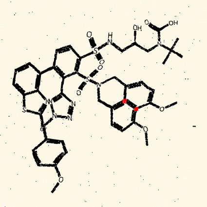 COc1ccc(CN(Cc2ccc(OC)cc2)S(=O)(=O)c2c(S(=O)(=O)NC[C@@H](O)CN(C(=O)O)C(C)(C)C)ccc(-c3cccc4sc(Br)nc34)c2-c2nnn(Cc3ccc(OC)cc3)n2)cc1